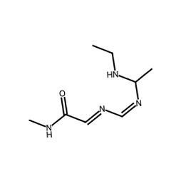 CCNC(C)/N=C\N=C\C(=O)NC